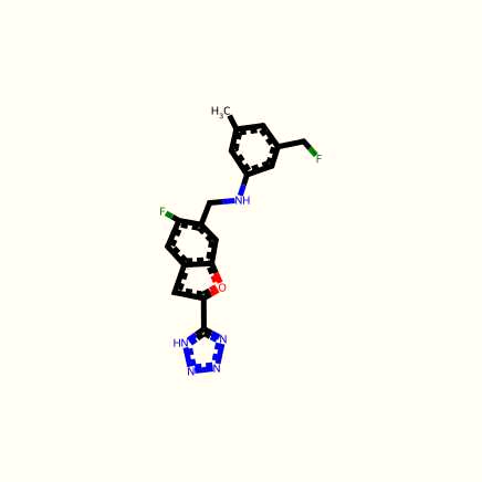 Cc1cc(CF)cc(NCc2cc3oc(-c4nnn[nH]4)cc3cc2F)c1